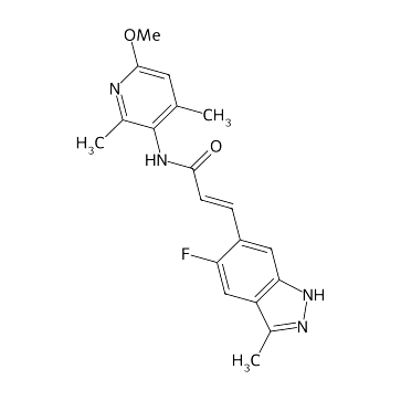 COc1cc(C)c(NC(=O)/C=C/c2cc3[nH]nc(C)c3cc2F)c(C)n1